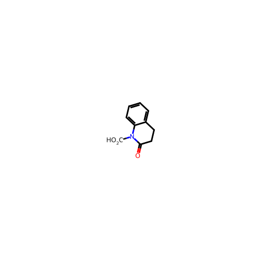 O=C(O)N1C(=O)CCc2ccccc21